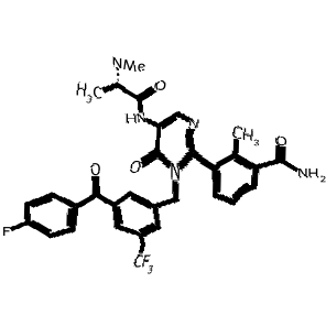 CN[C@@H](C)C(=O)Nc1cnc(-c2cccc(C(N)=O)c2C)n(Cc2cc(C(=O)c3ccc(F)cc3)cc(C(F)(F)F)c2)c1=O